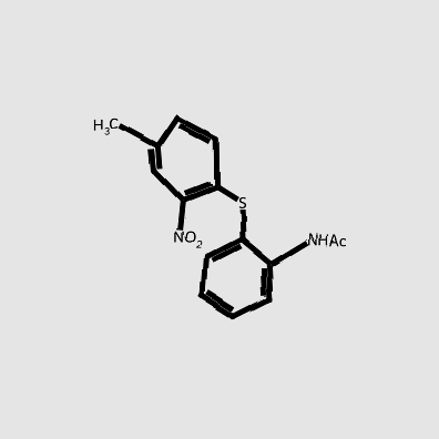 CC(=O)Nc1ccccc1Sc1ccc(C)cc1[N+](=O)[O-]